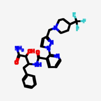 NC(=O)C(O)C(Cc1ccccc1)NC(=O)c1cccnc1-n1ccc(CN2CCC(C(F)(F)F)CC2)n1